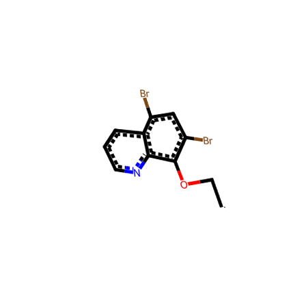 [CH2]COc1c(Br)cc(Br)c2cccnc12